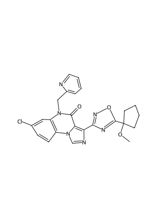 COC1(c2nc(-c3ncn4c3c(=O)n(Cc3ccccn3)c3cc(Cl)ccc34)no2)CCCC1